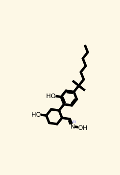 CCCCCCC(C)(C)c1ccc(C2CC(O)CCC2/C=N/O)c(O)c1